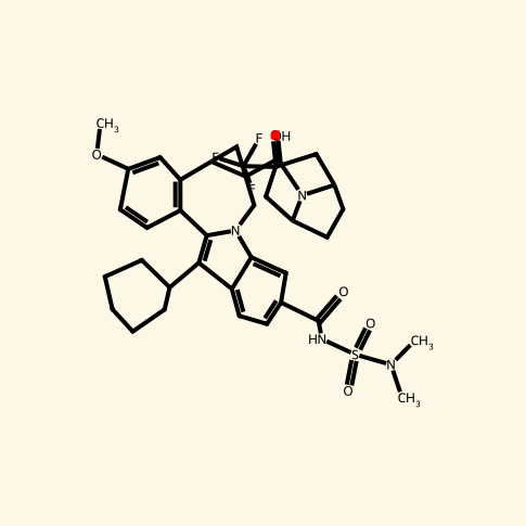 COc1ccc2c(c1)C1CC1(C(=O)N1C3CCC1CC(O)(C(F)(F)F)C3)Cn1c-2c(C2CCCCC2)c2ccc(C(=O)NS(=O)(=O)N(C)C)cc21